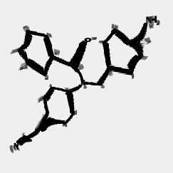 N#Cc1ccc(N(Cc2ccc(N)cc2)C(=O)c2ccccc2)cc1